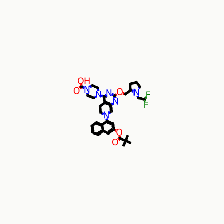 CC(C)(C)C(=O)Oc1cc(N2CCc3c(nc(OCC4CCCN4CC(F)F)nc3N3CCN(C(=O)O)CC3)C2)c2ccccc2c1